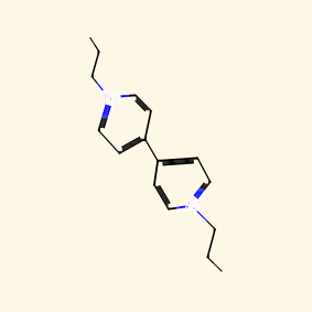 O=S(=O)(O)CC[n+]1ccc(-c2cc[n+](CCS(=O)(=O)O)cc2)cc1